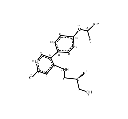 OC[C@H](F)CNc1cc(Cl)ncc1-c1ccc(OC(F)F)cn1